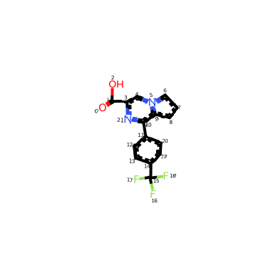 O=C(O)c1cn2cccc2c(-c2ccc(C(F)(F)F)cc2)n1